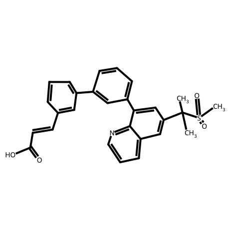 CC(C)(c1cc(-c2cccc(-c3cccc(/C=C/C(=O)O)c3)c2)c2ncccc2c1)S(C)(=O)=O